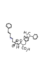 CC(c1ccccc1)n1cc(CC(C(=O)O)C(=O)NS(=O)(=O)C/C=C/C=Cc2ccccc2)cn1